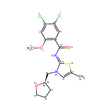 COc1cc(Cl)c(Cl)cc1C(=O)N=c1sc(C)cn1C[C@H]1CCCO1